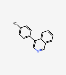 N#Cc1ccc(-c2cncc3ccccc23)cc1